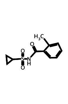 Cc1ccccc1C(=O)NS(=O)(=O)C1CC1